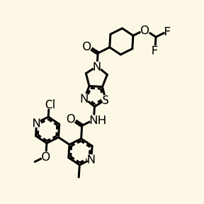 COc1cnc(Cl)cc1-c1cc(C)ncc1C(=O)Nc1nc2c(s1)CN(C(=O)C1CCC(OC(F)F)CC1)C2